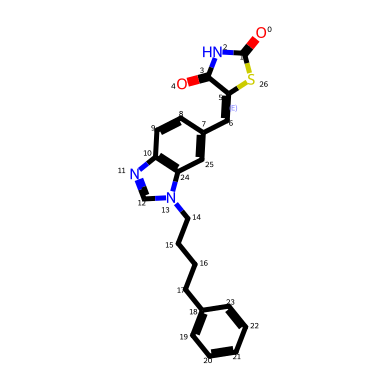 O=C1NC(=O)/C(=C\c2ccc3ncn(CCCCc4ccccc4)c3c2)S1